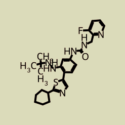 CC(C)(C)NNc1cc(NC(=O)NCc2ncccc2F)ccc1-c1cnc(C2CCCCC2)s1